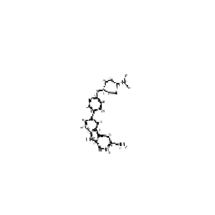 CN(C)C1CCN(Cc2ccc(-c3cnc4[nH]c5cnc(N)cc5c4c3)cc2)CC1